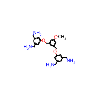 COc1cc(COc2cc(CN)cc(CN)c2)cc(COc2cc(CN)cc(CN)c2)c1